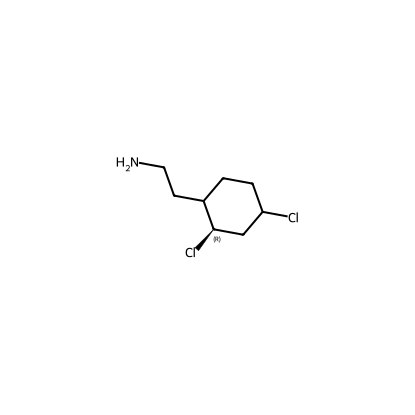 NCCC1CCC(Cl)C[C@H]1Cl